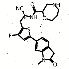 CN1C(=O)Cc2ccc(-c3cc(F)c(C[C@@H](C#N)NC(=O)C4CNCCCO4)s3)cc21